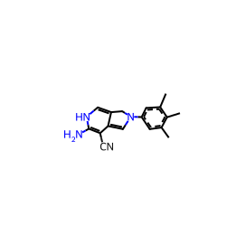 Cc1cc(N2C=C3C(=CNC(N)=C3C#N)C2)cc(C)c1C